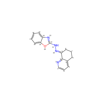 c1cnc2c(c1)CCCC2=NNc1nc2ccccc2o1